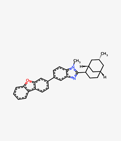 C[C@@H]1C[C@@H]2CCC(c3nc4cc(-c5ccc6c(c5)oc5ccccc56)ccc4n3C)[C@H](C1)C2